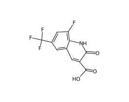 O=C(O)c1cc2cc(C(F)(F)F)cc(F)c2[nH]c1=O